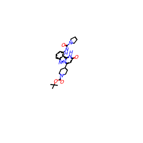 CC(C)(C)OC(=O)N1CCC(c2cc(=O)[nH]c3c4c(NC(=O)N5CCCC5)cccc4nn23)CC1